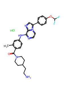 Cc1cc(Nc2nccn3c(-c4ccc(OC(F)F)cc4)cnc23)ccc1C(=O)N1CCC(CCN)CC1.Cl